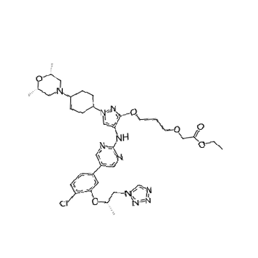 CCOC(=O)COCCCOc1nn(C2CCC(N3C[C@@H](C)O[C@@H](C)C3)CC2)cc1Nc1ncc(-c2ccc(Cl)c(O[C@@H](C)Cn3cnnn3)c2)cn1